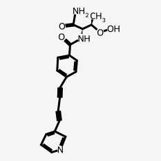 C[C@@H](OO)[C@H](NC(=O)c1ccc(C#CC#Cc2cccnc2)cc1)C(N)=O